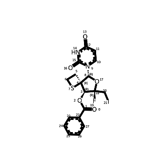 O=C(O[C@H]1[C@]2(CCS2)[C@H](n2ccc(=O)[nH]c2=O)O[C@]1(F)CI)c1ccccc1